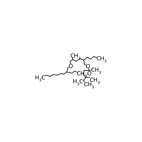 CCCCCCCC(CCC)COCC(C)CCC(CCCC)COC(C)([O])CCC(CC)C(C)C